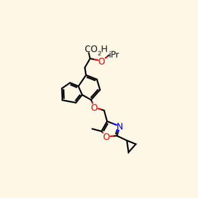 Cc1oc(C2CC2)nc1COc1ccc(CC(OC(C)C)C(=O)O)c2ccccc12